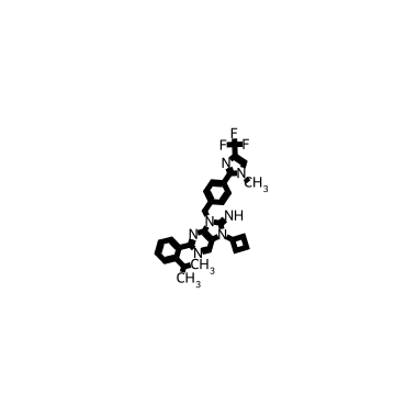 CC(C)c1ccccc1-c1ncc2c(n1)n(Cc1ccc(-c3nc(C(F)(F)F)cn3C)cc1)c(=N)n2C1CCC1